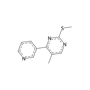 CSc1ncc(C)c(-c2cccnc2)n1